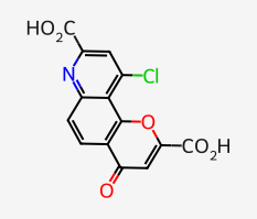 O=C(O)c1cc(Cl)c2c(ccc3c(=O)cc(C(=O)O)oc32)n1